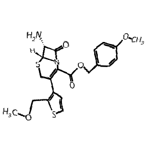 COCc1sccc1C1=C(C(=O)OCc2ccc(OC)cc2)N2C(=O)[C@@H](N)[C@H]2SC1